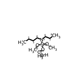 Br.CCCCN(CCC)[Si](OC)(OC)OC